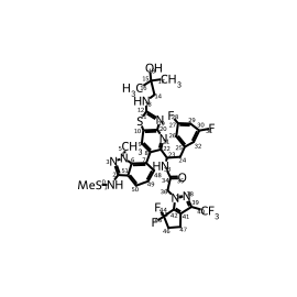 CSNc1nn(C)c2c(-c3cc4sc(NCC(C)(C)O)nc4nc3C(Cc3cc(F)cc(F)c3)NC(=O)Cn3nc(C(F)(F)F)c4c3C(F)(F)CC4)cccc12